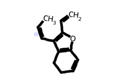 C=Cc1oc2c(c1/C=C\C)CCC=C2